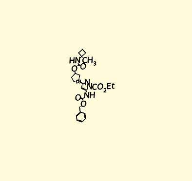 CCOC(=O)n1nc([C@H]2CCC(OC(=O)NC3(C)CCC3)C2)cc1NC(=O)OCc1ccccc1